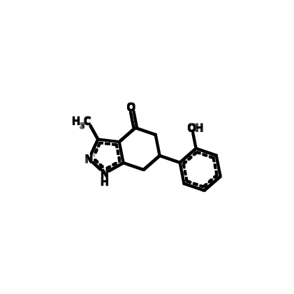 Cc1n[nH]c2c1C(=O)CC(c1ccccc1O)C2